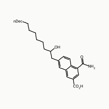 CCCCCCCCCCCCCCCCC(O)Cc1ccc2c(C(N)=O)cc(C(=O)O)cc2c1